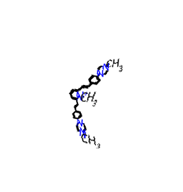 CN1CCN(c2ccc(/C=C/c3cccc(/C=C/c4ccc(N5CCN(C)CC5)cc4)[n+]3C)cc2)CC1